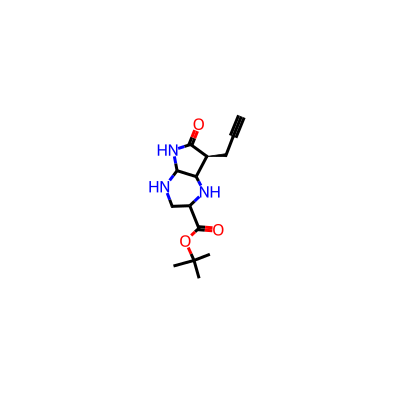 C#CC[C@@H]1C(=O)NC2NCC(C(=O)OC(C)(C)C)NC21